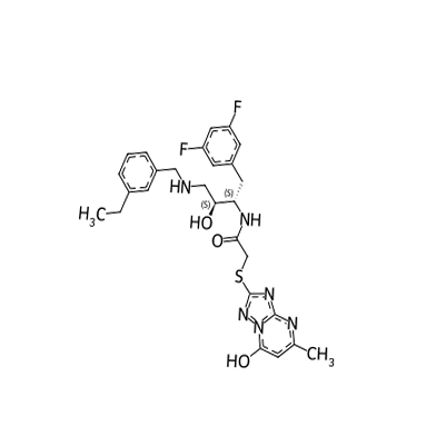 CCc1cccc(CNC[C@H](O)[C@H](Cc2cc(F)cc(F)c2)NC(=O)CSc2nc3nc(C)cc(O)n3n2)c1